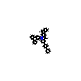 CC(C)c1cc(-c2ccc(-c3ccccc3)cc2)ccc1N(c1ccc(-c2ccccc2-c2ccccc2)cc1)c1ccc2c(c1)C(C)(C)c1ccccc1-2